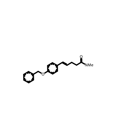 CNC(=O)CCC=Cc1ccc(OCc2ccccc2)cc1